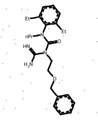 CCCN(C(=O)N(CCOCc1ccccc1)C(=N)N)c1c(CC)cccc1CC